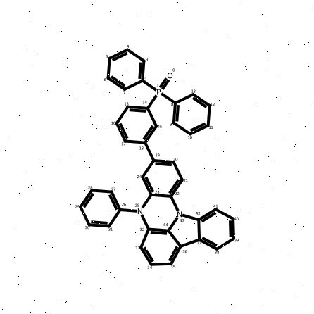 O=P(c1ccccc1)(c1ccccc1)c1cccc(-c2ccc3c(c2)N(c2ccccc2)c2cccc4c5ccccc5n-3c24)c1